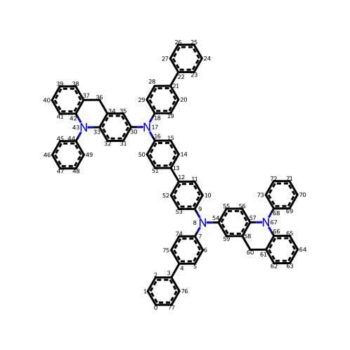 c1ccc(-c2ccc(N(c3ccc(-c4ccc(N(c5ccc(-c6ccccc6)cc5)c5ccc6c(c5)Cc5ccccc5N6c5ccccc5)cc4)cc3)c3ccc4c(c3)Cc3ccccc3N4c3ccccc3)cc2)cc1